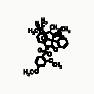 COc1ccc(S(=O)(=O)N2C(=O)C(c3ccccc3OC)(N(C)[C@@H](C)C(=O)N(C)C)c3cc(C#N)ccc32)c(OC)c1